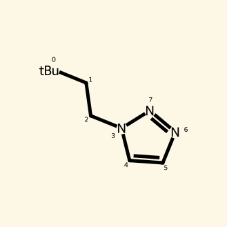 CC(C)(C)CCn1ccnn1